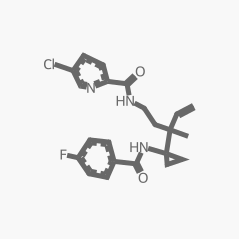 C=CC(C)(CCNC(=O)c1ccc(Cl)cn1)C1(NC(=O)c2ccc(F)cc2)CC1